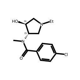 CCN1C[C@H](O)[C@@H](N(C)C(=O)c2ccc(Cl)cc2)C1